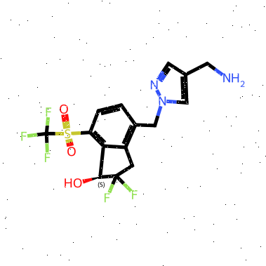 NCc1cnn(Cc2ccc(S(=O)(=O)C(F)(F)F)c3c2CC(F)(F)[C@H]3O)c1